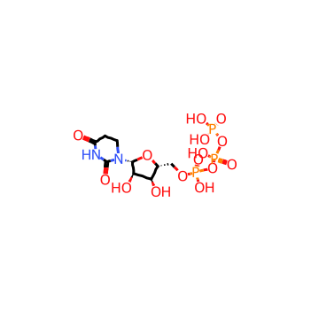 O=C1CCN([C@@H]2O[C@H](COP(=O)(O)OP(=O)(O)OP(=O)(O)O)[C@@H](O)[C@H]2O)C(=O)N1